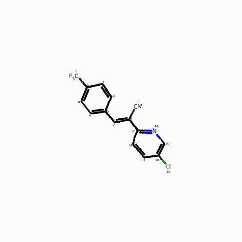 N#C/C(=C\c1ccc(C(F)(F)F)cc1)c1ccc(Cl)cn1